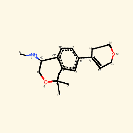 CN[C@@H]1COC(C)(C)c2cc(C3=CCOCC3)ccc21